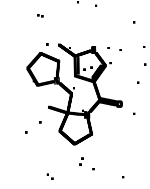 Cc1cc(C(=O)N2CCCC2(C)CN2CCCC2)cs1